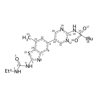 CCNC(=O)Nc1nc2cc(-c3cnc(NS(=O)(=O)C(C)(C)C)nc3)cc(C)c2s1